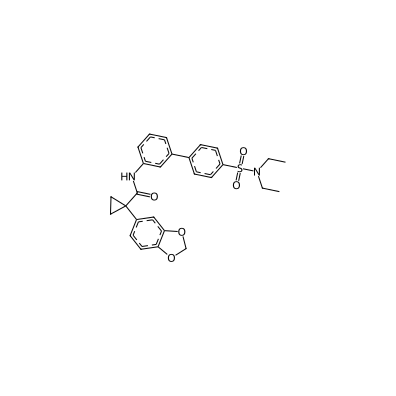 CCN(CC)S(=O)(=O)c1ccc(-c2cccc(NC(=O)C3(c4ccc5c(c4)OCO5)CC3)c2)cc1